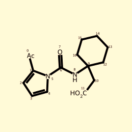 CC(=O)c1cccn1C(=O)NC1(CC(=O)O)CCCCC1